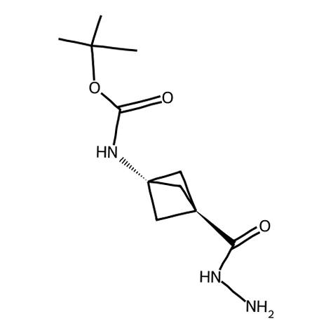 CC(C)(C)OC(=O)N[C@]12C[C@@](C(=O)NN)(C1)C2